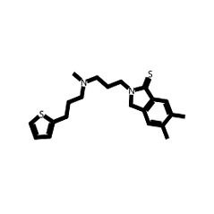 Cc1cc2c(cc1C)C(=S)N(CCCN(C)CCCc1cccs1)C2